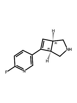 Fc1ccc(C2=C[C@H]3CNC[C@@H]23)cn1